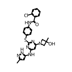 Cc1cc(Nc2cc(N3CC(C)(O)C3)nc(Sc3ccc(NC(=O)c4ccccc4Cl)cc3)n2)[nH]n1